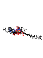 CCCCCCCCCCCCCCCC(=O)CC(CC(=O)P(O)C(=O)CCC[N+](C)(C)C)NC(=O)CCC